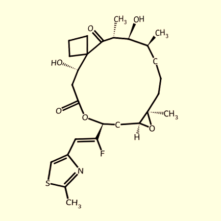 Cc1nc(C=C(F)[C@@H]2C[C@@H]3O[C@]3(C)CCC[C@H](C)[C@H](O)[C@@H](C)C(=O)C3(CCC3)[C@@H](O)CC(=O)O2)cs1